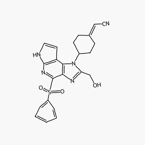 N#CC=C1CCC(n2c(CO)nc3c(S(=O)(=O)c4ccccc4)nc4[nH]ccc4c32)CC1